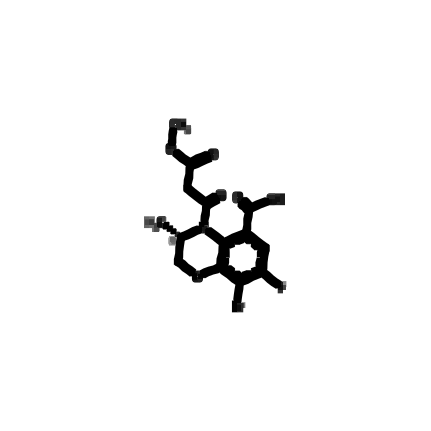 COC(=O)CC(=O)N1c2c(C(=O)O)cc(F)c(Br)c2OC[C@@H]1C